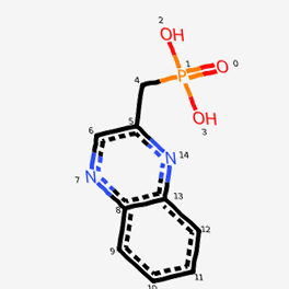 O=P(O)(O)Cc1cnc2ccccc2n1